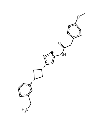 COc1ccc(CC(=O)Nc2cc([C@H]3C[C@@H](c4cccc(CN)c4)C3)n[nH]2)cc1